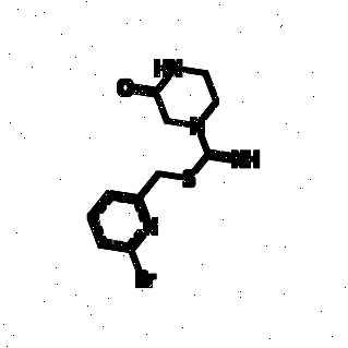 N=C(SCc1cccc(Br)n1)N1CCNC(=O)C1